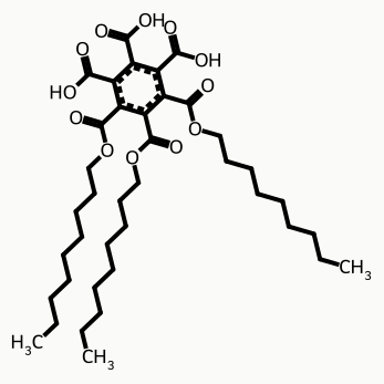 CCCCCCCCCOC(=O)c1c(C(=O)O)c(C(=O)O)c(C(=O)O)c(C(=O)OCCCCCCCCC)c1C(=O)OCCCCCCCCC